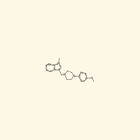 COc1ccc(N2CCN(Cc3cn(C)c4ncccc34)CC2)cc1